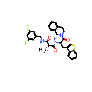 CC(C(=O)NCc1cc(F)cc(F)c1)C(=O)NC(Cc1csc2ccccc12)C(=O)N1CCc2ccccc2C1